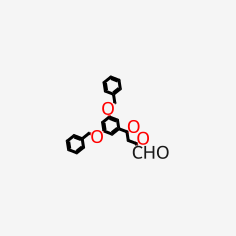 O=CC(=O)CC(=O)c1cc(OCc2ccccc2)cc(OCc2ccccc2)c1